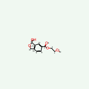 COCCOC(=O)c1ccc2c(c1)B(O)OC2